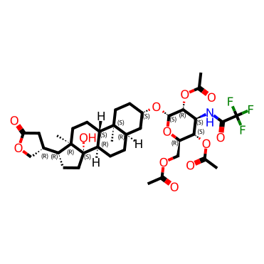 CC(=O)OC[C@H]1O[C@H](O[C@H]2CC[C@@]3(C)[C@H](CC[C@@H]4[C@@H]3CC[C@]3(C)[C@@H]([C@@H]5COC(=O)C5)CC[C@]43O)C2)[C@H](OC(C)=O)[C@@H](NC(=O)C(F)(F)F)[C@@H]1OC(C)=O